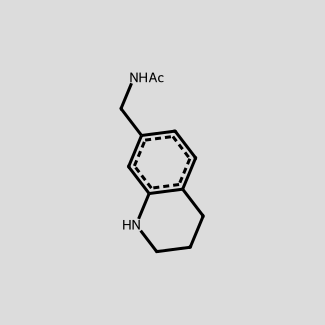 CC(=O)NCc1ccc2c(c1)NCCC2